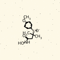 COc1ccc([S+]([O-])C(C)(C)CC(=O)NO)cc1